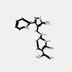 Cc1onc(-c2ccccn2)c1COc1ccc(C(N)=O)c(C(C)C)n1